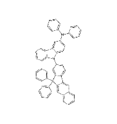 c1ccc(N(c2ccccc2)c2ccc3c(c2)c2ccccc2n3-c2ccc3c(c2)C(c2ccccc2)(c2ccccc2)c2cc4ccccc4cc2-3)cc1